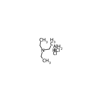 CCN(CC)CC.Cl.[AlH2][Cl]